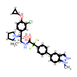 C[C@@H](NC(=O)C(F)(F)c1ccc(-c2ccc3c(cnn3C)c2)cc1)[C@](O)(c1ccc(OC2CC2)c(Cl)c1)N1CCCC1